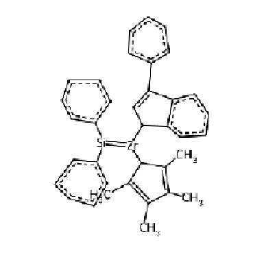 CC1=C(C)[CH]([Zr]([CH]2C=C(c3ccccc3)c3ccccc32)=[Si](c2ccccc2)c2ccccc2)C(C)=C1C